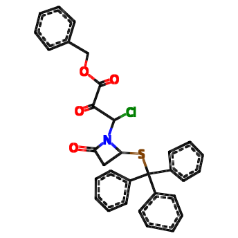 O=C(OCc1ccccc1)C(=O)C(Cl)N1C(=O)CC1SC(c1ccccc1)(c1ccccc1)c1ccccc1